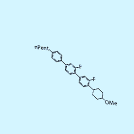 CCCCCc1ccc(-c2ccc(-c3ccc(C4CCC(OC)CC4)c(F)c3)c(F)c2)cc1